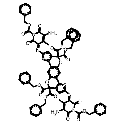 CC1=C(N)C(=O)N(C(=O)OCc2ccccc2)C(=O)/C1=N/c1cc2c(s1)-c1cc3c(cc1OC2(C(=O)OCc1ccccc1)C(=O)OCc1ccccc1)-c1sc(/N=C2/C(=O)N(C(=O)OCc4ccccc4)C(=O)C(N)=C2C)cc1C(C(=O)OCc1ccccc1)(C(=O)OCc1ccccc1)O3